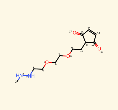 CNNCCOCCOCCC1C(=O)C=CC1=O